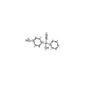 N#CC(O)(c1ccccc1)c1ccc(O)cc1